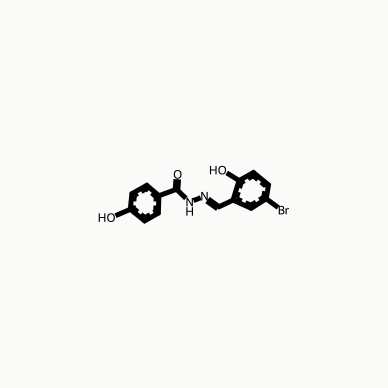 O=C(NN=Cc1cc(Br)ccc1O)c1ccc(O)cc1